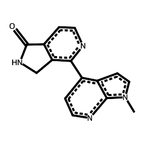 Cn1ccc2c(-c3nccc4c3CNC4=O)ccnc21